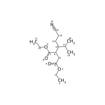 CCOC(=O)CC(C(=O)OCC)C(CCC#N)C(C)C